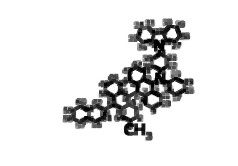 Cc1ccc2c(-c3c4ccccc4c(N(c4ccccc4)c4ccc(-n5c6ccccc6c6ccccc65)cc4)c4ccccc34)c3ccccc3c(-c3ccc4ccccc4c3)c2c1